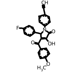 C#Cc1ccc(N2C(=O)C(O)=C(C(=O)c3ccc(OC)cc3)C2c2ccc(F)cc2)cc1